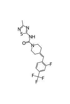 Cc1nsc(NC(=O)N2CCC(=Cc3ccc(C(F)(F)F)cc3F)CC2)n1